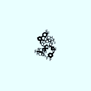 CC(C)(C)OC(=O)c1c(COC[C@@H]2CN(C(=O)c3cnn(Cc4ccc(F)c(F)c4)c3)CC23CN(C(=O)C(C)(C)C(F)(F)F)C3)cccc1C1CCC(F)(F)CC1